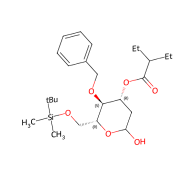 CCC(CC)C(=O)O[C@@H]1CC(O)O[C@H](CO[Si](C)(C)C(C)(C)C)[C@H]1OCc1ccccc1